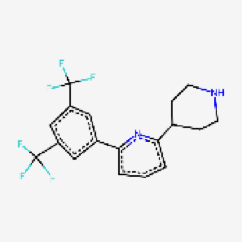 FC(F)(F)c1cc(-c2cccc(C3CCNCC3)n2)cc(C(F)(F)F)c1